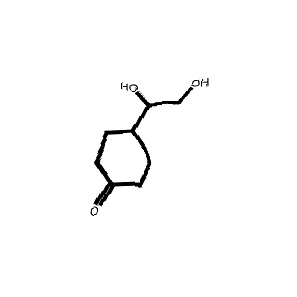 O=C1CCC(C(O)CO)CC1